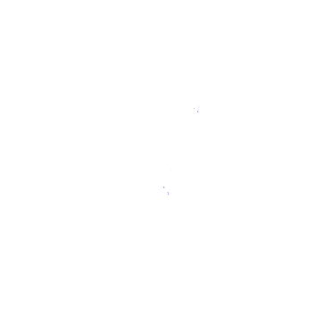 Cc1nc(C)c(Cc2cc3ccccc3[nH]c2=O)s1